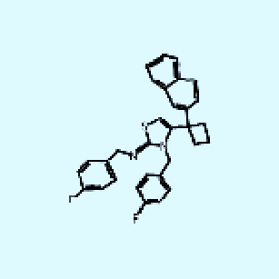 Fc1ccc(CN=c2scc(C3(c4ccc5ccccc5c4)CCC3)n2Cc2ccc(F)cc2)cc1